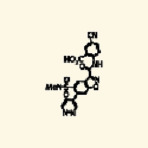 CNS(=O)(=O)c1cc2c(C(=O)Nc3ccc(C#N)cc3C(=O)O)noc2cc1-c1ccnnc1